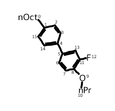 CCCCCCCCc1ccc(-c2ccc(OCCC)c(F)c2)cc1